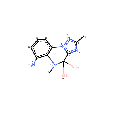 BC1(B)c2nc(C)nn2-c2cccc(N)c2N1C